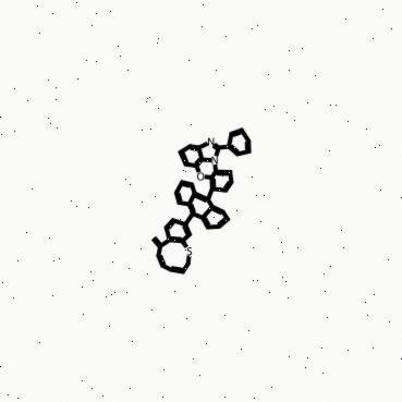 C=C1/C=C\C=C/CSc2cc(-c3c4ccccc4c(-c4cccc5c4Oc4cccc6nc(-c7ccccc7)n-5c46)c4ccccc34)ccc21